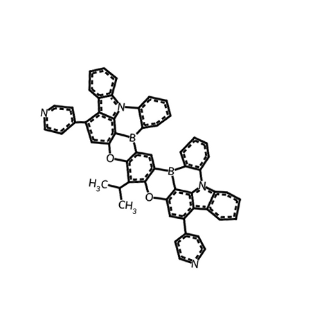 CC(C)c1c2c(cc3c1Oc1cc(-c4ccncc4)c4c5ccccc5n5c4c1B3c1ccccc1-5)B1c3ccccc3-n3c4ccccc4c4c(-c5ccncc5)cc(c1c43)O2